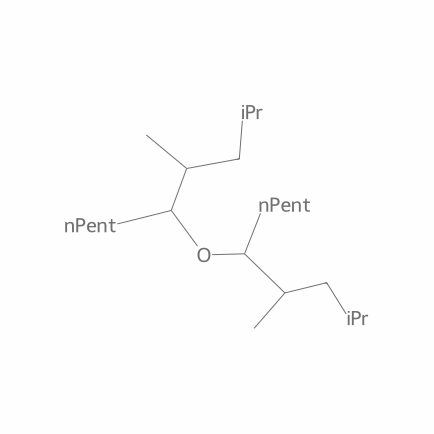 CCCCCC(OC(CCCCC)C(C)CC(C)C)C(C)CC(C)C